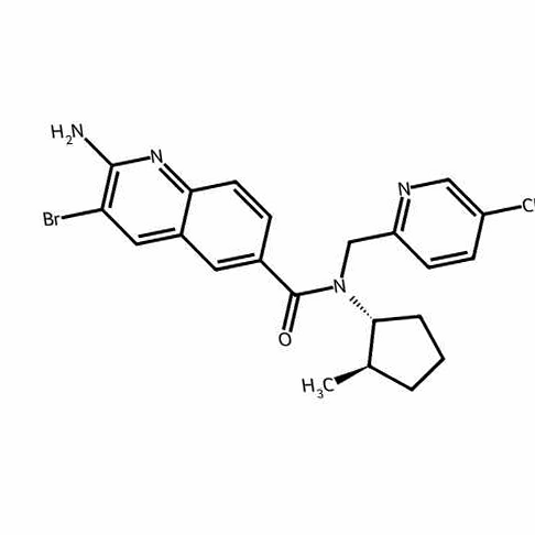 C[C@@H]1CCC[C@H]1N(Cc1ccc(C(F)(F)F)cn1)C(=O)c1ccc2nc(N)c(Br)cc2c1